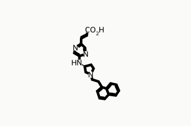 O=C(O)C=Cc1cnc(N[C@@H]2CCN(CCc3cccc4ccccc34)C2)cn1